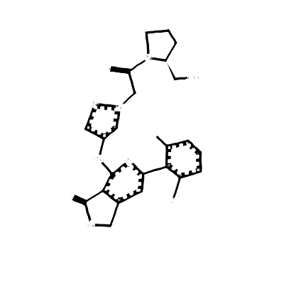 O=C1NCc2cc(-c3c(F)cccc3F)nc(Nc3cnn(CC(=O)N4CCC[C@H]4CO)c3)c21